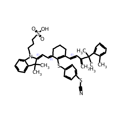 C=C(/C=C/C1=C(Sc2ccc(SC#N)cc2)C(=C/C=C2/N(CCCS(=O)(=O)O)c3ccccc3C2(C)C)/CCC1)C(C)(C)c1ccccc1C